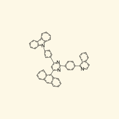 c1ccc2c(-c3ccc(-c4nc(-c5ccc(-n6c7ccccc7c7ccccc76)cc5)cc(-c5c6ccccc6cc6ccccc56)n4)cc3)nccc2c1